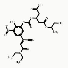 CCC(C)OC(=O)CC(CC(=O)O)OC(=O)Oc1cc(C(C#N)=CC(=O)N(CC)CC)cc([N+](=O)[O-])c1O